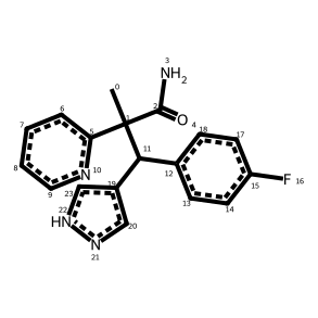 CC(C(N)=O)(c1ccccn1)C(c1ccc(F)cc1)c1cn[nH]c1